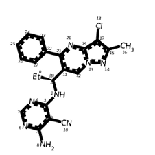 CC[C@H](Nc1ncnc(N)c1C#N)c1cn2nc(C)c(Cl)c2nc1-c1ccccc1